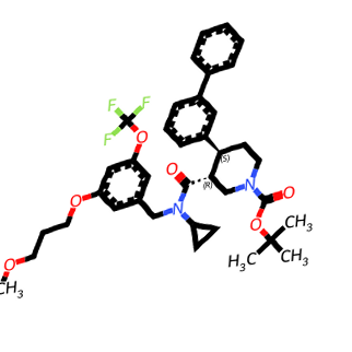 COCCCOc1cc(CN(C(=O)[C@H]2CN(C(=O)OC(C)(C)C)CC[C@@H]2c2cccc(-c3ccccc3)c2)C2CC2)cc(OC(F)(F)F)c1